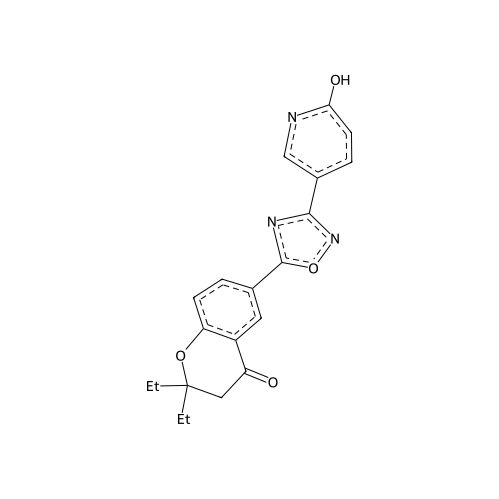 CCC1(CC)CC(=O)c2cc(-c3nc(-c4ccc(O)nc4)no3)ccc2O1